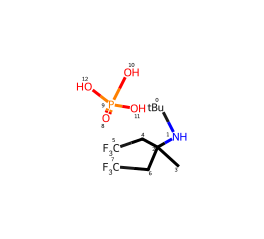 CC(C)(C)NC(C)(CC(F)(F)F)CC(F)(F)F.O=P(O)(O)O